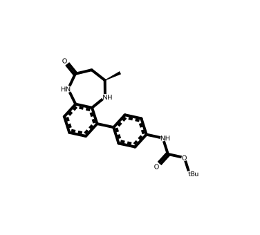 C[C@@H]1CC(=O)Nc2cccc(-c3ccc(NC(=O)OC(C)(C)C)cc3)c2N1